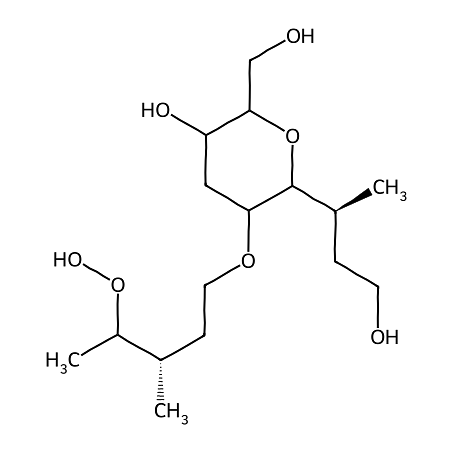 CC(OO)[C@@H](C)CCOC1CC(O)C(CO)OC1[C@@H](C)CCO